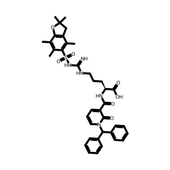 Cc1c(C)c(S(=O)(=O)NC(=N)NCCC[C@H](NC(=O)c2cccn(C(c3ccccc3)c3ccccc3)c2=O)C(=O)O)c(C)c2c1OC(C)(C)C2